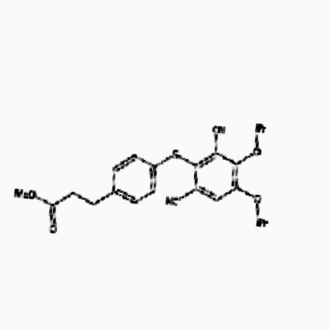 COC(=O)CCc1ccc(Sc2c(C#N)cc(OC(C)C)c(OC(C)C)c2C#N)cc1